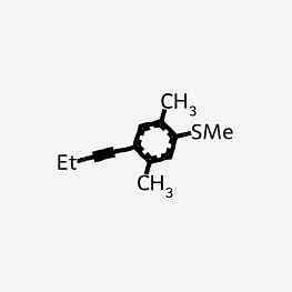 CCC#Cc1cc(C)c(SC)cc1C